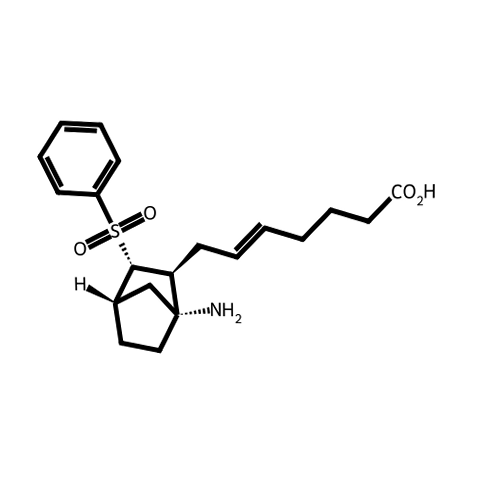 N[C@]12CC[C@@H](C1)[C@H](S(=O)(=O)c1ccccc1)[C@H]2CC=CCCCC(=O)O